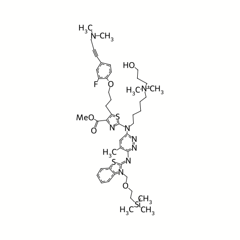 COC(=O)c1nc(N(CCCCC[N+](C)(C)CCCO)c2cc(C)c(/N=c3\sc4ccccc4n3COCC[Si](C)(C)C)nn2)sc1CCCOc1ccc(C#CCN(C)C)cc1F